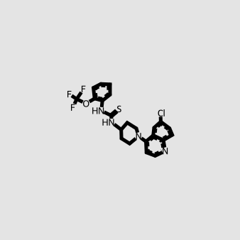 FC(F)(F)Oc1ccccc1NC(=S)NC1CCN(c2ccnc3ccc(Cl)cc23)CC1